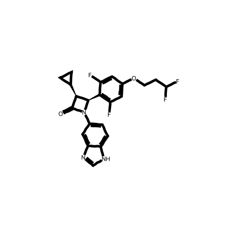 O=C1[C@@H](C2CC2)[C@@H](c2c(F)cc(OCCC(F)F)cc2F)N1c1ccc2[nH]cnc2c1